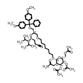 COc1ccc(C(OC[C@@H](COCCCCCCCO[C@@H]2O[C@H](COC(C)=O)[C@H](OC(C)=O)[C@H](OC(C)=O)[C@H]2CC(N)=O)OP(CCC#N)N(C(C)C)C(C)C)(c2ccccc2)c2ccc(OC)cc2)cc1